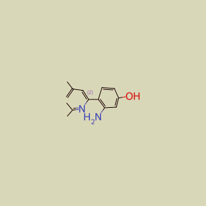 C=C(C)/C=C(\N=C(C)C)c1ccc(O)cc1N